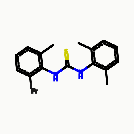 Cc1cccc(C)c1NC(=S)Nc1c(C)cccc1C(C)C